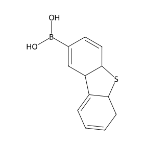 OB(O)C1=CC2C3=CC=CCC3SC2C=C1